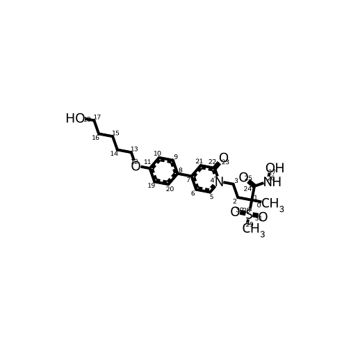 CC(CCn1ccc(-c2ccc(OCCCCCO)cc2)cc1=O)(C(=O)NO)S(C)(=O)=O